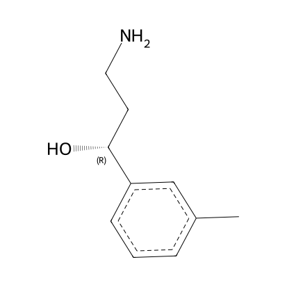 Cc1cccc([C@H](O)CCN)c1